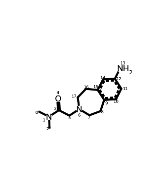 CN(C)C(=O)CN1CCc2ccc(N)cc2CC1